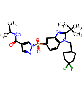 CC(C)NC(=O)c1cnn(S(=O)(=O)c2ccc3c(c2)nc(C(C)(C)C)n3CC2CCC(F)(F)CC2)c1